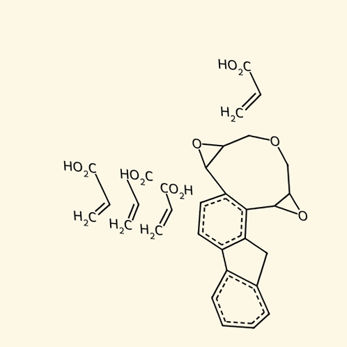 C=CC(=O)O.C=CC(=O)O.C=CC(=O)O.C=CC(=O)O.c1ccc2c(c1)Cc1c-2ccc2c1C1OC1COCC1OC21